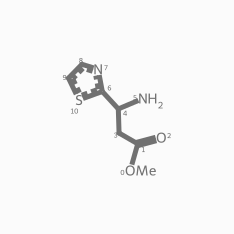 COC(=O)CC(N)c1nccs1